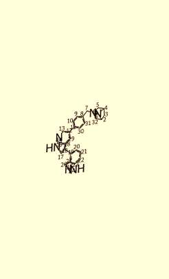 CN1C2CC1CN(Cc1ccc(-c3cnc4[nH]cc(-c5cccc6[nH]ncc56)c4c3)cc1)C2